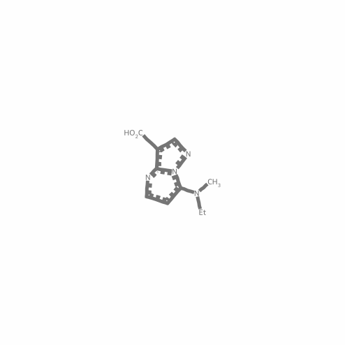 CCN(C)c1ccnc2c(C(=O)O)cnn12